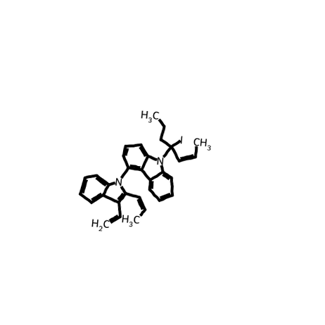 C=Cc1c(/C=C\C)n(-c2cccc3c2c2ccccc2n3C(I)(/C=C\C)CCC)c2ccccc12